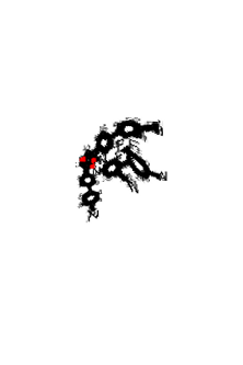 N#Cc1ccc(-c2ccc3c4ccccc4n(-c4cc(C#N)c(-c5ccc(C#N)cc5C(F)(F)F)cc4-n4c5ccccc5c5ccc(-c6ccc(C#N)cc6)cc54)c3c2)cc1